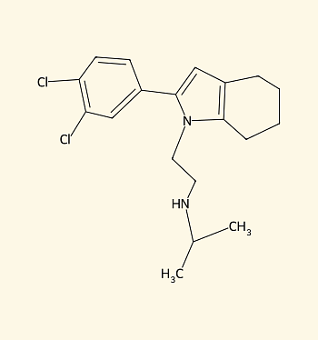 CC(C)NCCn1c(-c2ccc(Cl)c(Cl)c2)cc2c1CCCC2